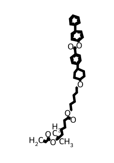 C=CC(=O)OC(C)(C)CCCCC(=O)OCCCCCCOC1CCC(c2ccc(C(=O)Oc3ccc(-c4ccccc4)cc3)cc2)CC1